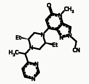 CC[C@H]1CN(C(C)c2ccncn2)[C@H](CC)CN1c1cc(=O)n(C)c2cn(CC#N)nc12